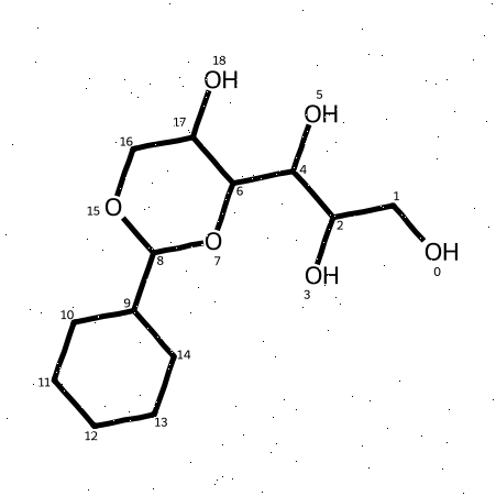 OCC(O)C(O)C1OC(C2CCCCC2)OCC1O